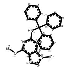 CCOc1nc(NC(c2ccccc2)(c2ccccc2)c2ccccc2)nc2c1ncn2C(C)C